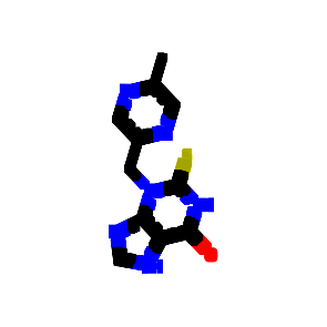 Cc1cnc(Cn2c(=S)[nH]c(=O)c3[nH]cnc32)cn1